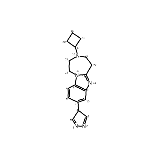 C1=NN=CC1c1ccc2c(c1)nc1n2CCN(C2CCC2)CC1